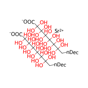 CCCCCCCCCCCC(O)(O)C(O)(O)C(O)(O)C(O)(O)C(O)(O)C(O)(O)C(=O)[O-].CCCCCCCCCCCC(O)(O)C(O)(O)C(O)(O)C(O)(O)C(O)(O)C(O)(O)C(=O)[O-].[Sr+2]